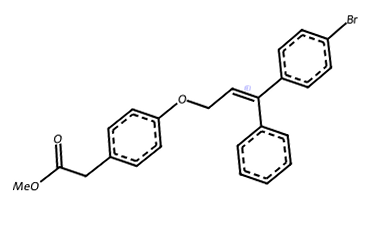 COC(=O)Cc1ccc(OC/C=C(\c2ccccc2)c2ccc(Br)cc2)cc1